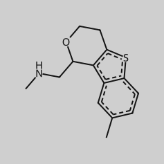 CNCC1OCCc2sc3ccc(C)cc3c21